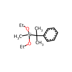 CCO[Si](C)(OCC)C(C)(C)c1ccccc1